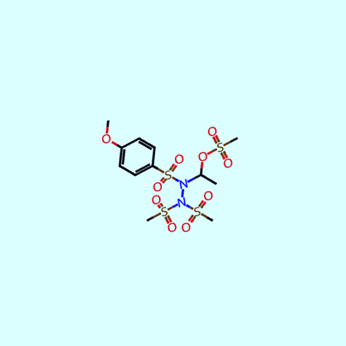 COc1ccc(S(=O)(=O)N(C(C)OS(C)(=O)=O)N(S(C)(=O)=O)S(C)(=O)=O)cc1